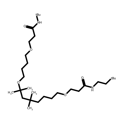 CC(C)(C)CCNC(=O)CCOCCCCC(C)(C)CC(C)(C)OCCCCOCCC(=O)NC(C)(C)C